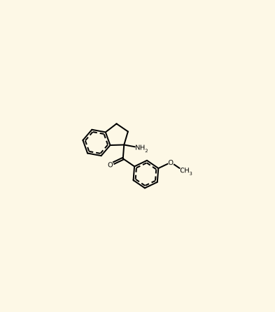 COc1cccc(C(=O)C2(N)CCc3ccccc32)c1